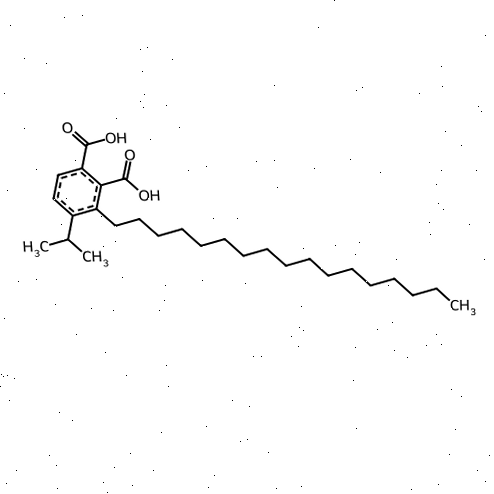 CCCCCCCCCCCCCCCCCc1c(C(C)C)ccc(C(=O)O)c1C(=O)O